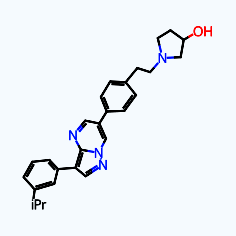 CC(C)c1cccc(-c2cnn3cc(-c4ccc(CCN5CCC(O)C5)cc4)cnc23)c1